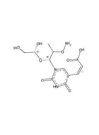 CC(ON)[C@@H](O[C@@H](O)CO)n1cc(/C=C\C(=O)O)c(=O)[nH]c1=O